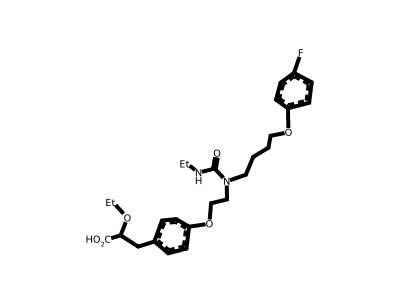 CCNC(=O)N(CCCCOc1ccc(F)cc1)CCOc1ccc(CC(OCC)C(=O)O)cc1